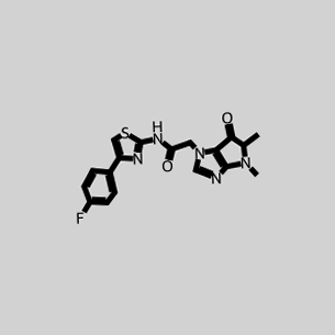 CC1C(=O)c2c(ncn2CC(=O)Nc2nc(-c3ccc(F)cc3)cs2)N1C